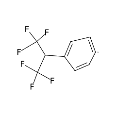 FC(F)(F)C(c1cc[c]cc1)C(F)(F)F